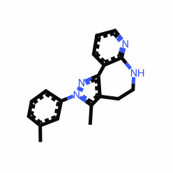 Cc1cccc(-n2nc3c(c2C)CCNc2ncccc2-3)c1